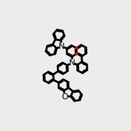 c1ccc(-c2ccccc2N(c2ccc(-c3ccccc3-c3ccc4c(c3)oc3ccccc34)cc2)c2cccc(-n3c4ccccc4c4ccccc43)c2)cc1